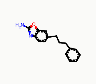 Nc1nc2ccc(CCCc3ccccc3)cc2o1